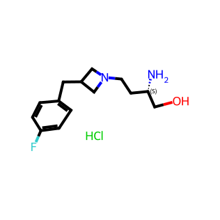 Cl.N[C@H](CO)CCN1CC(Cc2ccc(F)cc2)C1